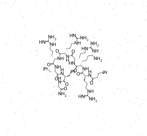 CC(C)C[C@H](NC(=O)[C@H](CC(C)C)NC(=O)[C@H](CCCNC(=N)N)NC(=O)[C@H](CCCNC(=N)N)NC(=O)[C@H](CCCNC(=N)N)NC(=O)[C@H](CCCCN)NC(=O)[C@H](CCCNC(=N)N)NC(=O)[C@@H](C)CC(C)C)C(=O)N[C@@H](C)C(N)=O